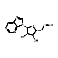 O[C@@H]1[C@H](O)[C@@H](COS)O[C@H]1n1cnc2cncnc21